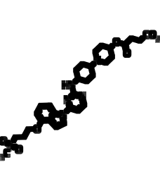 CS(=O)(=O)CCCOc1cccc2c1ccn2-c1ccnc(NC2CCC(N3CCC(OC(=O)CCC(=O)O)CC3)CC2)n1